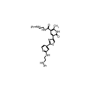 Cc1[nH]c(=O)c(-c2csc(-c3ccnc(NCCNC(C)C)c3)n2)cc1C(=O)NCCNC(C)C